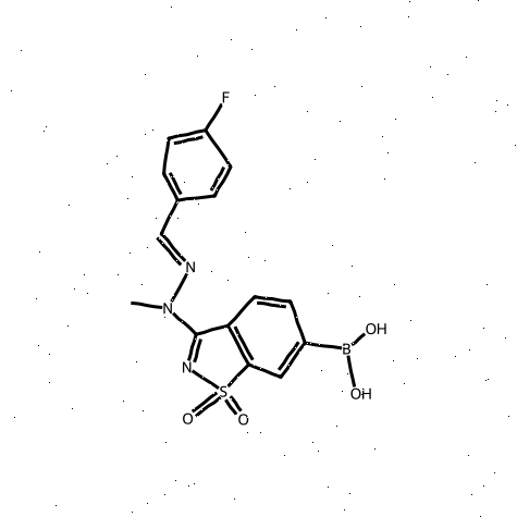 CN(/N=C/c1ccc(F)cc1)C1=NS(=O)(=O)c2cc(B(O)O)ccc21